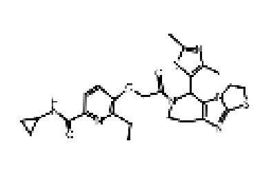 CCc1nc(C(=O)NC2CC2)ccc1OCC(=O)N1CCc2nc3n(c2C1c1sc(C)nc1C)CCS3